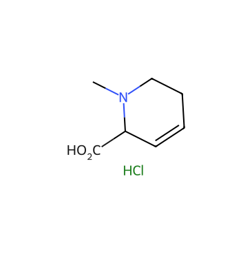 CN1CCC=CC1C(=O)O.Cl